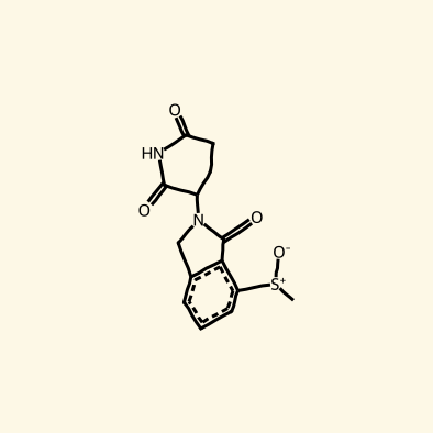 C[S+]([O-])c1cccc2c1C(=O)N(C1CCC(=O)NC1=O)C2